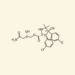 CC1(C)N[C@@H](C(=O)OC[C@@H](O)CC(N)=O)[C@H](c2cccc(Cl)c2)[C@@]1(C#N)c1ccc(Cl)cc1